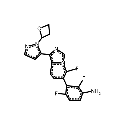 Nc1ccc(F)c(-c2ccc3c(-c4ccnn4C4CCO4)ncn3c2F)c1F